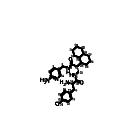 Nc1ccc(CNC(=O)[C@@H](CNC(=O)[C@H](N)Cc2ccc(Cl)cc2)C2CCCC3CCCCC32)cn1